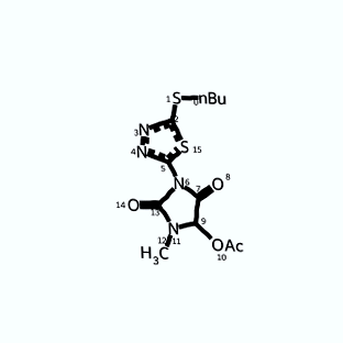 CCCCSc1nnc(N2C(=O)C(OC(C)=O)N(C)C2=O)s1